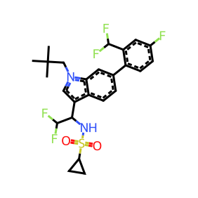 CC(C)(C)Cn1cc(C(NS(=O)(=O)C2CC2)C(F)F)c2ccc(-c3ccc(F)cc3C(F)F)cc21